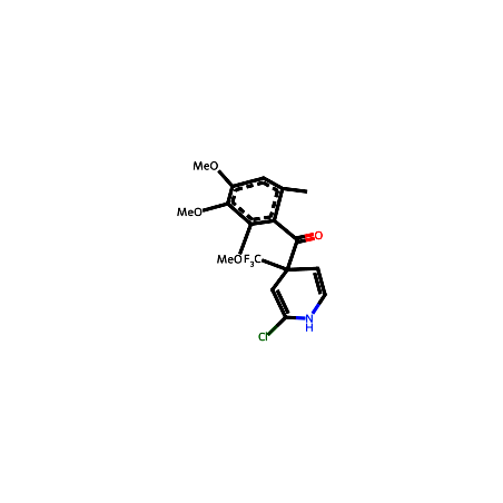 COc1cc(C)c(C(=O)C2(C(F)(F)F)C=CNC(Cl)=C2)c(OC)c1OC